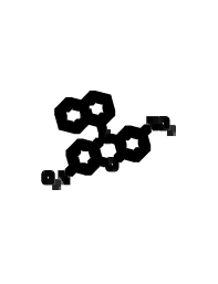 O=[N+]([O-])c1ccc2c(c1)Oc1ccc([N+](=O)[O-])cc1N2c1cccc2ccccc12